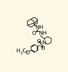 COc1ccc(S(=O)(=O)N2CCCCC2CNC(=O)NC23CC4CC(CC(C4)C2)C3)cc1